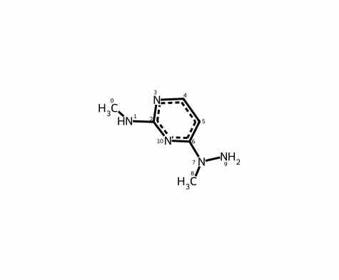 CNc1nccc(N(C)N)n1